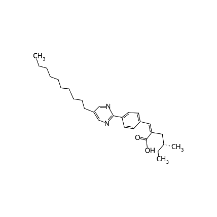 CCCCCCCCCCc1cnc(-c2ccc(C=C(C[C@H](C)CC)C(=O)O)cc2)nc1